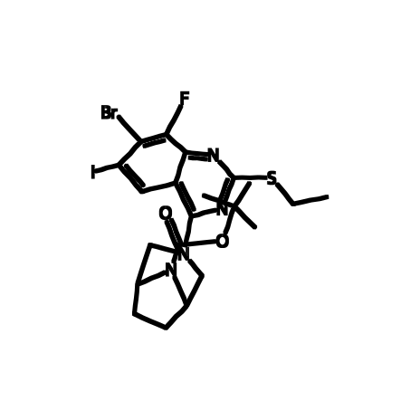 CCSc1nc(N2CC3CCC(C2)N3C(=O)OC(C)(C)C)c2cc(I)c(Br)c(F)c2n1